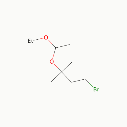 CCOC(C)OC(C)(C)CCBr